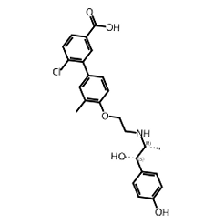 Cc1cc(-c2cc(C(=O)O)ccc2Cl)ccc1OCCN[C@H](C)[C@@H](O)c1ccc(O)cc1